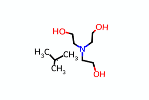 C[C](C)C.OCCN(CCO)CCO